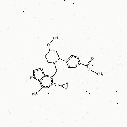 COC(=O)c1ccc(C2CC(OC)CCN2Cc2c(C3CC3)cc(C)c3[nH]ccc23)cc1